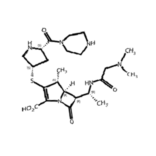 C[C@@H](NC(=O)CN(C)C)[C@H]1C(=O)N2C(C(=O)O)=C(S[C@@H]3CN[C@H](C(=O)N4CCNCC4)C3)[C@H](C)[C@@H]12